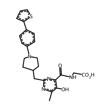 Cc1nc(CC2CCN(c3ccc(-c4cccs4)cc3)CC2)nc(C(=O)NCC(=O)O)c1O